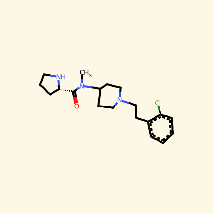 CN(C(=O)[C@@H]1CCCN1)C1CCN(CCc2ccccc2Cl)CC1